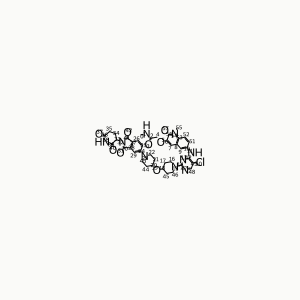 CNC(=O)COc1cc2cc(Nc3nc(N4CCC(OC5CCN(c6ccc7c(c6)C(=O)N(C6CCC(=O)NC6=O)C7=O)CC5)CC4)ncc3Cl)ccc2n(C)c1=O